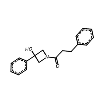 O=C(CCc1ccccc1)N1CC(O)(c2ccccc2)C1